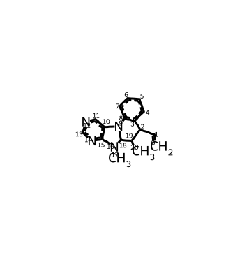 C=CC1c2ccccc2N2c3cncnc3N(C)C2C1C